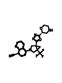 N#Cc1ccc(N2C[C@]3(c4nnc([C@H]5CNCCO5)o4)C[C@]3(C(F)(F)F)C2)c2cccnc12